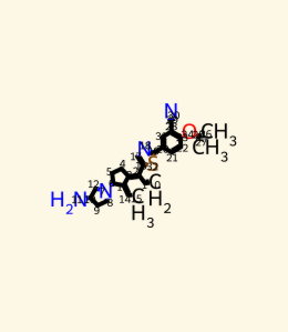 C=C/C(=C1/CCC(N2CCC(N)C2)/C1=C/C)c1cnc(-c2ccc(OC(C)C)c(C#N)c2)s1